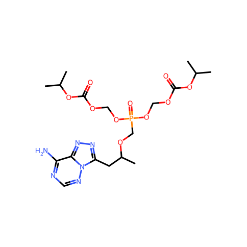 CC(C)OC(=O)OCOP(=O)(COC(C)Cc1nnc2c(N)ncnn12)OCOC(=O)OC(C)C